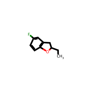 CCC1Cc2cc(F)ccc2O1